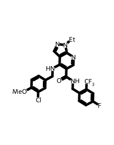 CCn1ncc2c(NCc3ccc(OC)c(Cl)c3)c(C(=O)NCc3ccc(F)cc3C(F)(F)F)cnc21